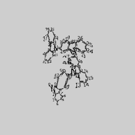 Cn1c2ccccc2c2cc(-n3c4ccccc4c4cc(-n5c6ccccc6c6ccc(-n7c8ccccc8c8ccccc87)cc65)ccc43)ccc21